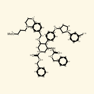 COCCCN1CCOc2ccc(COC3CN(C(=O)OCc4ccccc4)CC(NC(=O)OCc4ccccc4)C3c3ccc(OC4CCN(c5cccc(F)c5)C4)cc3)cc21